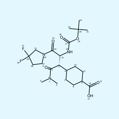 CN(C)C(=O)[C@@H](C1CCC(C(=O)O)CC1)C(NC(=O)OC(C)(C)C)C(=O)N1CCC(F)(F)C1